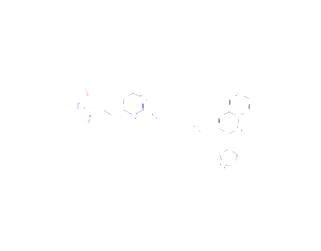 Cc1noc(C)c1-c1nc2ccccc2cc1CNCC1CCN(c2nccc(/C=C3\SC(=O)NC3=O)n2)CC1